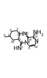 CC1CCCC(C(=N)n2ccnc(N)c2=N)C1